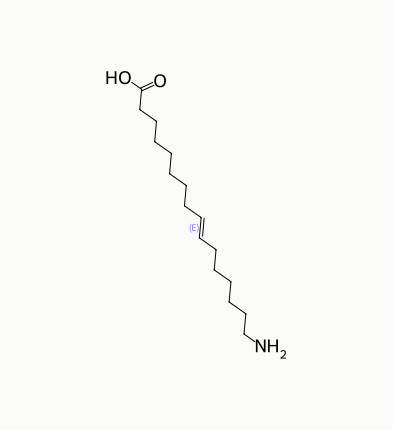 NCCCCCC/C=C/CCCCCCCC(=O)O